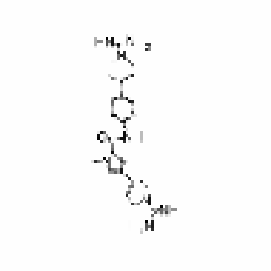 Cn1cc(C2=CCN(C(=N)N)CC2)cc1C(=O)Nc1ccc(C2=CCN(C(=N)N)CC2)cc1